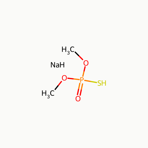 COP(=O)(S)OC.[NaH]